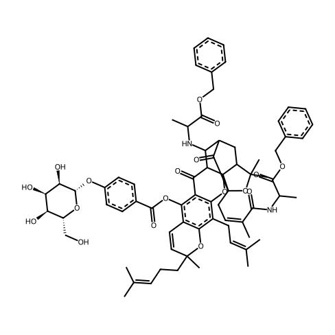 CC(C)=CCCC1(C)C=Cc2c(c(CC=C(C)C)c3c(c2OC(=O)c2ccc(O[C@@H]4O[C@H](CO)[C@@H](O)[C@@H](O)[C@H]4O)cc2)C(=O)C2C(NC(C)C(=O)OCc4ccccc4)C4CC5C(C)(C)OC(C/C=C(/C)C(=O)NC(C)C(=O)OCc6ccccc6)(C4=O)C25O3)O1